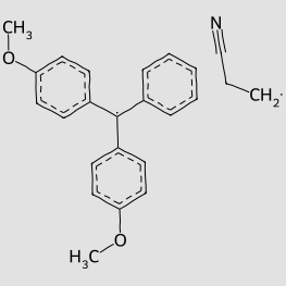 COc1ccc([C](c2ccccc2)c2ccc(OC)cc2)cc1.[CH2]CC#N